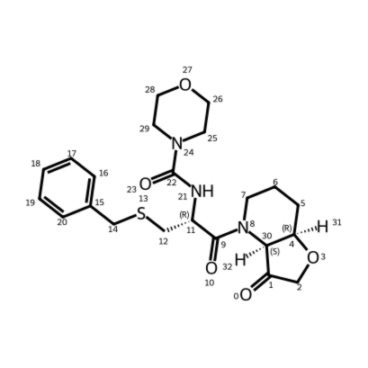 O=C1CO[C@@H]2CCCN(C(=O)[C@H](CSCc3ccccc3)NC(=O)N3CCOCC3)[C@H]12